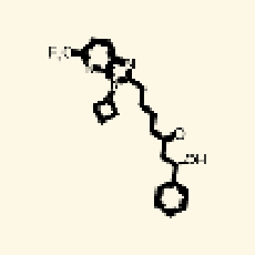 O=C(CCCCc1nc2ccc(C(F)(F)F)nc2n1C1CCC1)C[C@@H](O)c1ccccc1